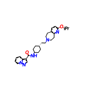 CC(C)Oc1ccc2c(n1)CCN(CC[C@H]1CC[C@H](NC(=O)c3cnn4ccccc34)CC1)CC2